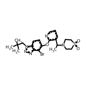 CC(c1cccnc1Oc1ccc2c(nnn2CC(C)(C)C)c1Br)N1CCS(=O)(=O)CC1